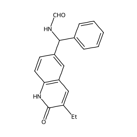 CCc1cc2cc(C(NC=O)c3ccccc3)ccc2[nH]c1=O